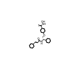 O=C(/C=C/c1ccccc1)N[C@H](COc1ccc(C(=S)NO)cc1)c1ccccc1